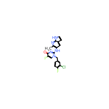 Cc1nc2[nH]ccc2cc1Nc1nc(=O)c(F)cn1Cc1ccc(F)c(Cl)c1